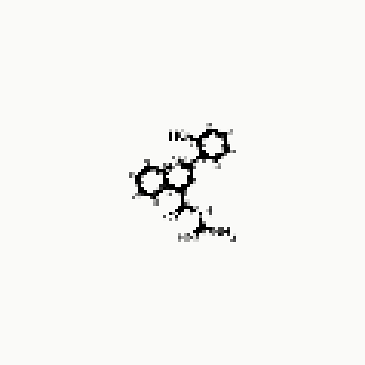 N=C(N)NC(=O)c1cc(-c2ccccc2O)nc2ccccc12